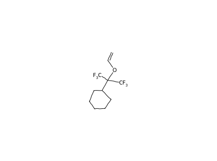 C=COC(C1CCCCC1)(C(F)(F)F)C(F)(F)F